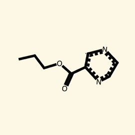 CCCOC(=O)c1[c]nccn1